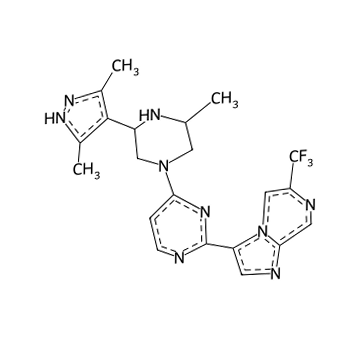 Cc1n[nH]c(C)c1C1CN(c2ccnc(-c3cnc4cnc(C(F)(F)F)cn34)n2)CC(C)N1